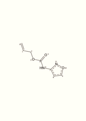 C=CCOC(=O)Nc1ccon1